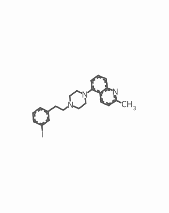 Cc1ccc2c(N3CCN(CCc4cccc(I)c4)CC3)cccc2n1